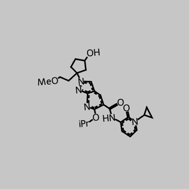 COCCC1(n2cc3cc(C(=O)Nc4cccn(C5CC5)c4=O)c(OC(C)C)nc3n2)CCC(O)C1